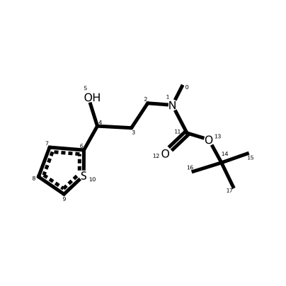 CN(CCC(O)c1cccs1)C(=O)OC(C)(C)C